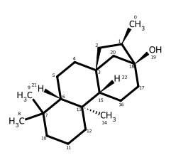 C[C@@H]1C[C@]23CC[C@H]4C(C)(C)CCC[C@]4(C)[C@H]2CC[C@]1(O)C3